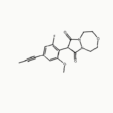 CC#Cc1cc(F)c(C2C(=O)N3CCOCCN3C2=O)c(OC)c1